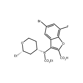 CCOC(=O)N(c1c(C(=O)O)oc2c(F)cc(Br)cc12)[C@H]1CCO[C@@H](CC)C1